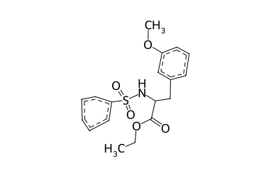 CCOC(=O)C(Cc1cccc(OC)c1)NS(=O)(=O)c1ccccc1